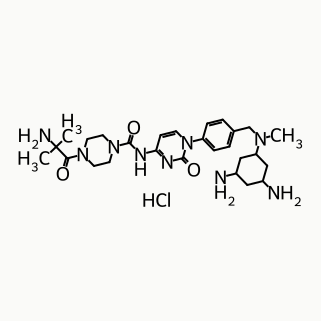 CN(Cc1ccc(-n2ccc(NC(=O)N3CCN(C(=O)C(C)(C)N)CC3)nc2=O)cc1)C1CC(N)CC(N)C1.Cl